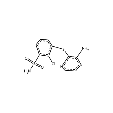 Nc1nccnc1Sc1cccc(S(N)(=O)=O)c1Cl